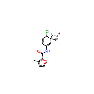 Cc1ccoc1C(=O)NC1=CC(C(=O)O)(C(C)C)C(Cl)C=C1